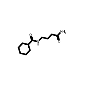 NC(=O)CCCNC(=O)C1CCCCC1